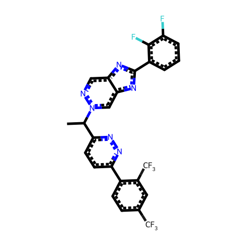 CC(c1ccc(-c2ccc(C(F)(F)F)cc2C(F)(F)F)nn1)n1cc2nc(-c3cccc(F)c3F)nc-2cn1